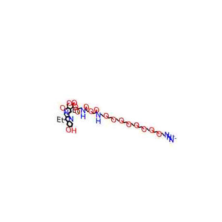 CCc1c2c(nc3ccc(O)cc13)-c1cc3c(c(=O)n1C2)COC(=O)[C@@]3(CC)OC(=O)CNC(=O)COCC(=O)NCCOCCOCCOCCOCCOCCOCCOCCOCCN=[N+]=[N-]